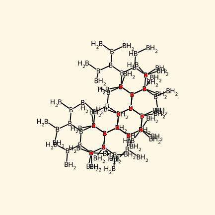 BBB(B)B(B(B(B)B)B(B)B)B(B(C)B(B(C)B(B(B(BB)B(B)B)B(B(B)B)B(B)B)B(B(B(B)B)B(B)B)B(B(B)B)B(B)B)B(B(B(B)B(B)B)B(B(B)B)B(B)B)B(B(B(B)B)B(B)B)B(B(B)B)B(B)B)B(B(B(B)B)B(B)B)B(B(B)B)B(B)B